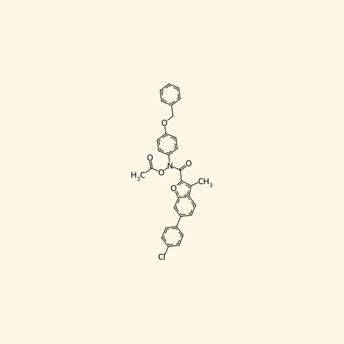 CC(=O)ON(C(=O)c1oc2cc(-c3ccc(Cl)cc3)ccc2c1C)c1ccc(OCc2ccccc2)cc1